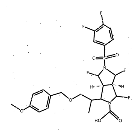 COc1ccc(COCC(C)C2[C@H]3C(F)N(S(=O)(=O)c4ccc(F)c(F)c4)C(F)[C@H]3C(F)N2C(=O)O)cc1